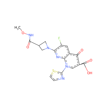 CONC(=O)C1CN(c2nc3c(cc2F)c(=O)c(C(=O)O)cn3-c2nccs2)C1